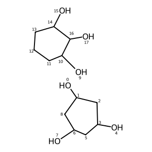 OC1CC(O)CC(O)C1.OC1CCCC(O)C1O